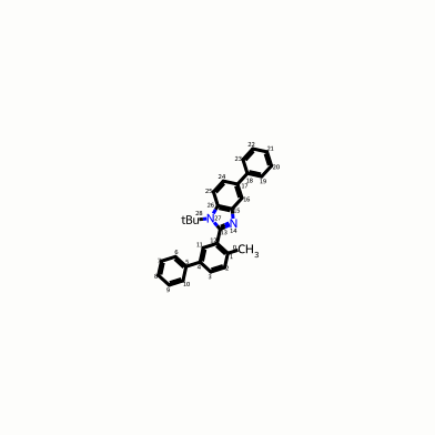 Cc1ccc(-c2ccccc2)cc1-c1nc2cc(-c3ccccc3)ccc2n1C(C)(C)C